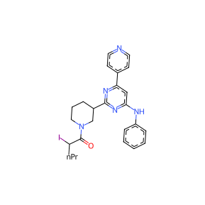 CCCC(I)C(=O)N1CCCC(c2nc(Nc3ccccc3)cc(-c3ccncc3)n2)C1